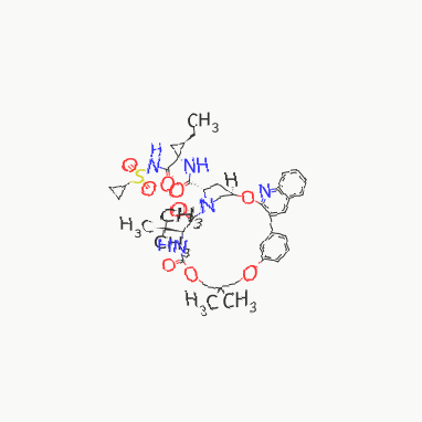 CC[C@@H]1C[C@]1(NC(=O)[C@@H]1C[C@@H]2CN1C(=O)[C@H](C(C)(C)C)NC(=O)OCC(C)(C)COc1cccc(c1)-c1cc3ccccc3nc1O2)C(=O)NS(=O)(=O)C1CC1